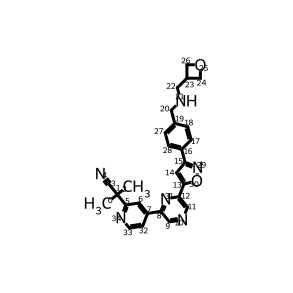 CC(C)(C#N)c1cc(-c2cncc(-c3cc(-c4ccc(CNCC5COC5)cc4)no3)n2)ccn1